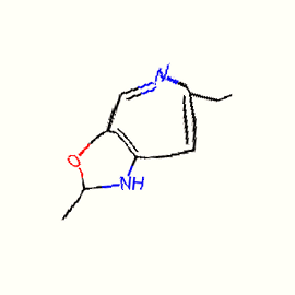 Cc1cc2c(cn1)OC(C)N2